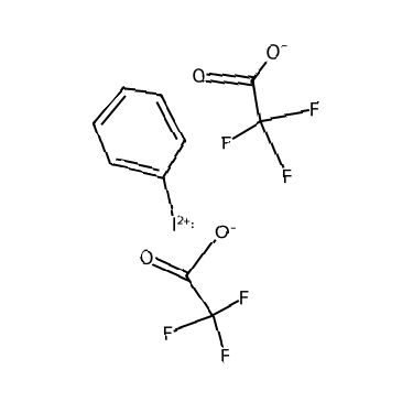 O=C([O-])C(F)(F)F.O=C([O-])C(F)(F)F.[I+2]c1ccccc1